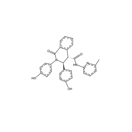 Cc1cccc(NC(=O)[C@H]2c3ccccc3C(=O)N(c3ccc(O)cc3)[C@@H]2c2ccc(O)cc2)n1